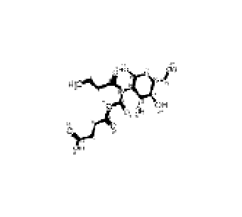 CCCC(=O)N(C(=O)OC(=O)CCC(=O)O)[C@H]1C(O)O[C@H](CO)[C@@H](O)[C@@H]1O